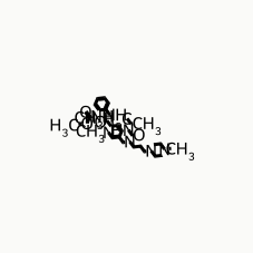 CC(C)NC(=O)N(CCCN1CCN(C)CC1)Cc1ccc(C(=O)Nc2ccccc2NC(=O)OC(C)(C)C)nc1